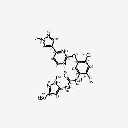 Cn1cc(-c2ccnc(Oc3cc(NC(=O)Nc4cc(C(C)(C)C)nn4C)c(F)cc3Cl)n2)cn1